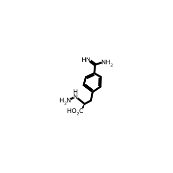 N=C(N)c1ccc(C[C@H](NN)C(=O)O)cc1